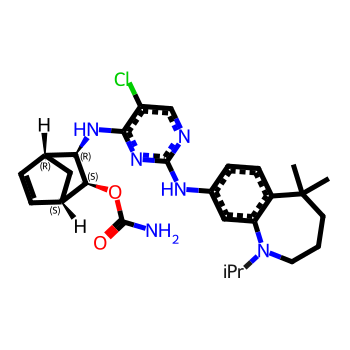 CC(C)N1CCCC(C)(C)c2ccc(Nc3ncc(Cl)c(N[C@H]4[C@@H](OC(N)=O)[C@@H]5C=C[C@H]4C5)n3)cc21